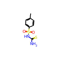 Cc1ccc(S(=O)(=O)NC(N)=S)cc1